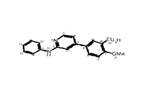 COc1ccc(-c2ccnc(Nc3ccccc3)c2)cc1C(=O)O